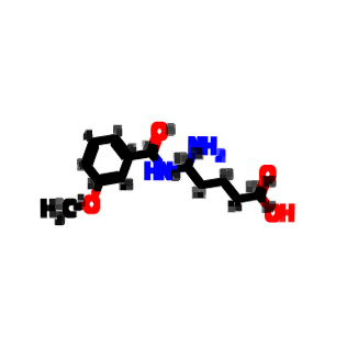 COc1cccc(C(=O)NC(N)CCCC(=O)O)c1